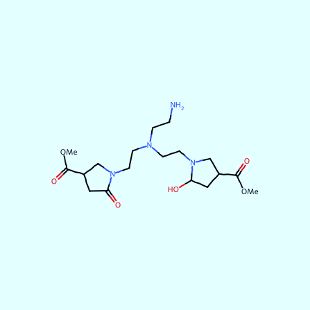 COC(=O)C1CC(=O)N(CCN(CCN)CCN2CC(C(=O)OC)CC2O)C1